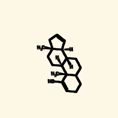 C[C@@]12CC=C[C@H]1[C@@H]1CCC3CCC=C(O)[C@]3(C)[C@H]1CC2